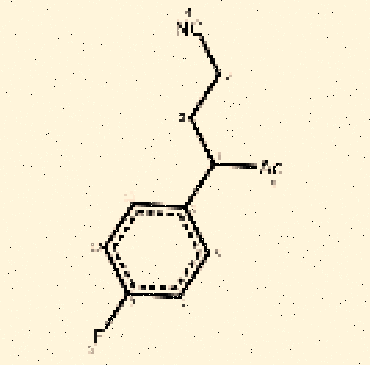 CC(=O)C(CCC#N)c1ccc(F)cc1